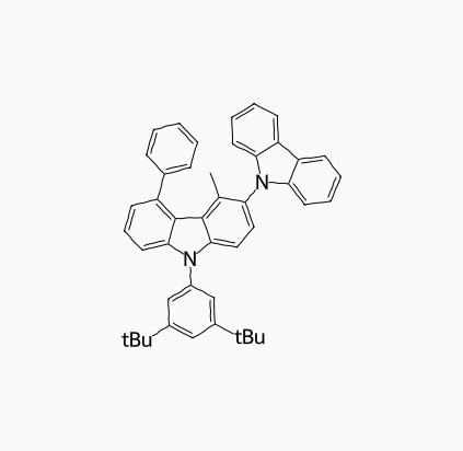 Cc1c(-n2c3ccccc3c3ccccc32)ccc2c1c1c(-c3ccccc3)cccc1n2-c1cc(C(C)(C)C)cc(C(C)(C)C)c1